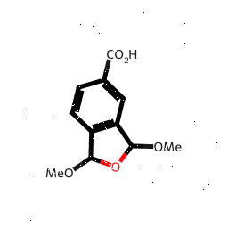 COC1OC(OC)c2cc(C(=O)O)ccc21